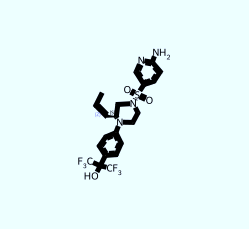 C/C=C\[C@H]1CN(S(=O)(=O)c2ccc(N)nc2)CCN1c1ccc(C(O)(C(F)(F)F)C(F)(F)F)cc1